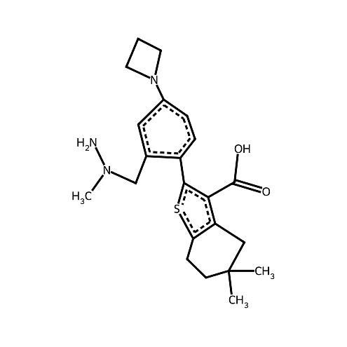 CN(N)Cc1cc(N2CCC2)ccc1-c1sc2c(c1C(=O)O)CC(C)(C)CC2